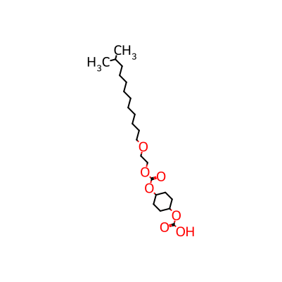 CC(C)CCCCCCCCCCOCCOC(=O)OC1CCC(OC(=O)O)CC1